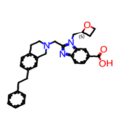 O=C(O)c1ccc2nc(CN3CCc4ccc(CCc5ccccc5)cc4C3)n(C[C@@H]3CCO3)c2c1